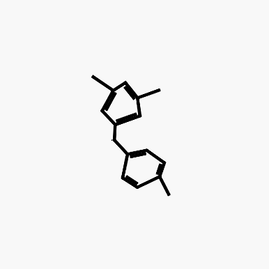 Cc1ccc([CH]c2cc(C)cc(C)c2)cc1